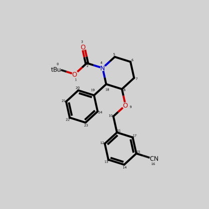 CC(C)(C)OC(=O)N1CCCC(OCc2cccc(C#N)c2)C1c1ccccc1